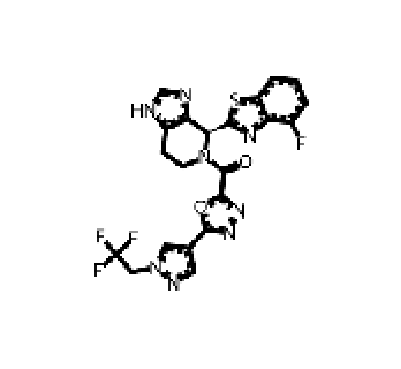 O=C(c1nnc(-c2cnn(CC(F)(F)F)c2)o1)N1CCc2[nH]cnc2[C@H]1c1nc2c(F)cccc2s1